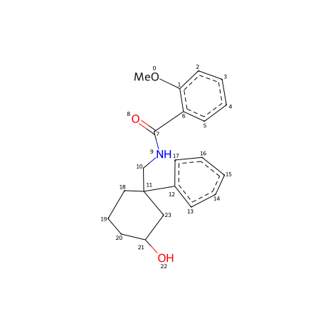 COc1ccccc1C(=O)NCC1(c2ccccc2)CCCC(O)C1